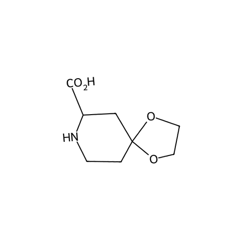 O=C(O)C1CC2(CCN1)OCCO2